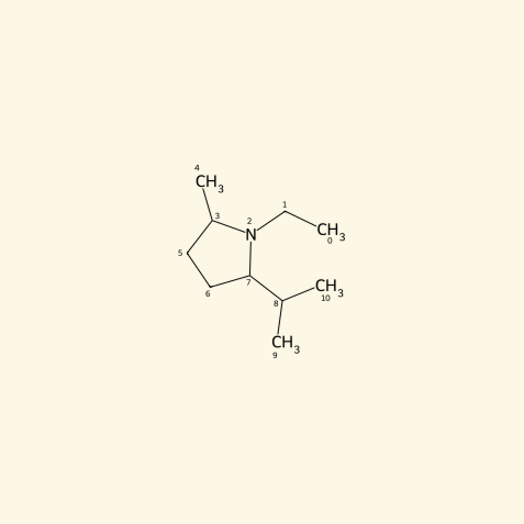 CCN1C(C)CCC1C(C)C